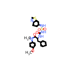 COc1ccc(N(C)C(=O)C(Cc2ccccc2)NC(=O)NS(=O)(=O)Nc2ccc3ncsc3c2)cc1